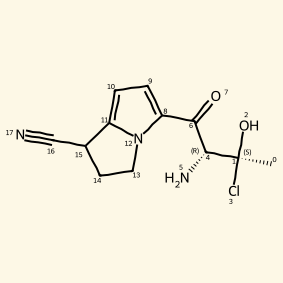 C[C@](O)(Cl)[C@H](N)C(=O)c1ccc2n1CCC2C#N